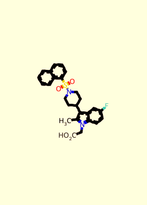 Cc1c(C2CCN(S(=O)(=O)c3cccc4ccccc34)CC2)c2cc(F)ccc2n1CC(=O)O